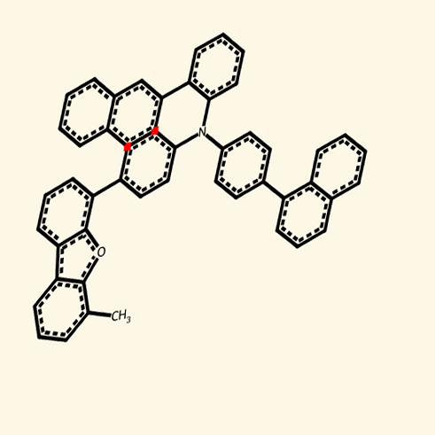 Cc1cccc2c1oc1c(-c3ccc(N(c4ccc(-c5cccc6ccccc56)cc4)c4ccccc4-c4ccc5ccccc5c4)cc3)cccc12